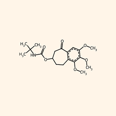 COc1cc2c(c(OC)c1OC)CCC(OC(=O)NC(C)(C)C)CC2=O